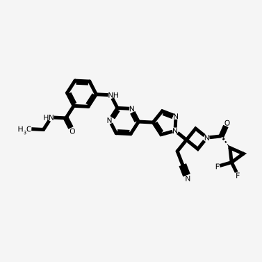 CCNC(=O)c1cccc(Nc2nccc(-c3cnn(C4(CC#N)CN(C(=O)[C@@H]5CC5(F)F)C4)c3)n2)c1